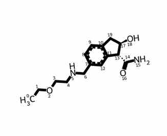 CCOCCNCc1ccc2c(c1)[C@@H](C(N)=O)[C@H](O)C2